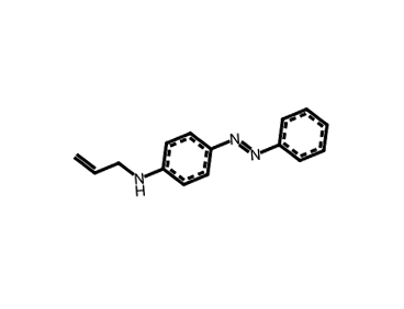 C=CCNc1ccc(/N=N/c2ccccc2)cc1